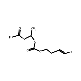 CCC=CCCOC(=O)OC(C)OC(=O)C(C)C